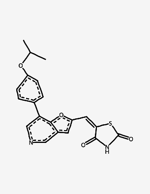 CC(C)Oc1ccc(-c2cncc3cc(C=C4SC(=O)NC4=O)oc23)cc1